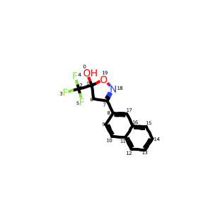 OC1(C(F)(F)F)CC(c2ccc3ccccc3c2)=NO1